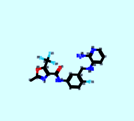 Cc1nc(C(=O)Nc2ccc(F)c(CNc3cccnc3N)c2)c(C(F)(F)F)o1